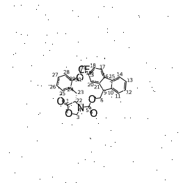 O=C1OCN(C(=O)OCC2c3ccccc3-c3ccccc32)[C@H]1Cc1ccccc1OC(F)(F)F